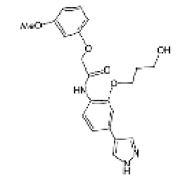 COc1cccc(OCC(=O)Nc2ccc(-c3cn[nH]c3)cc2OCCCO)c1